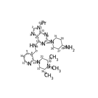 CC(C)n1cnc2c(NCc3cccnc3N3C[C@@H](C)N(C)[C@@H](C)C3)nc(N3CCC(N)CC3)nc21